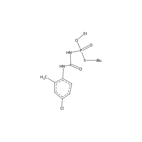 CCOP(=O)(NC(=O)Nc1ccc(Cl)cc1C)SC(C)CC